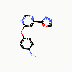 Nc1ccc(Oc2cc(-c3nnco3)ncn2)cc1